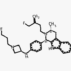 C=C(CF)CCN1[C@H](c2ccc(NC3CN(CCCF)C3)cc2)c2[nH]c3ccccc3c2C[C@H]1C